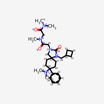 CN(C)C(=O)CN(C)C(=O)CN1CC2(CCC(c3ccccc3)(N(C)C)CC2)N(CC2CCC2)C1=O